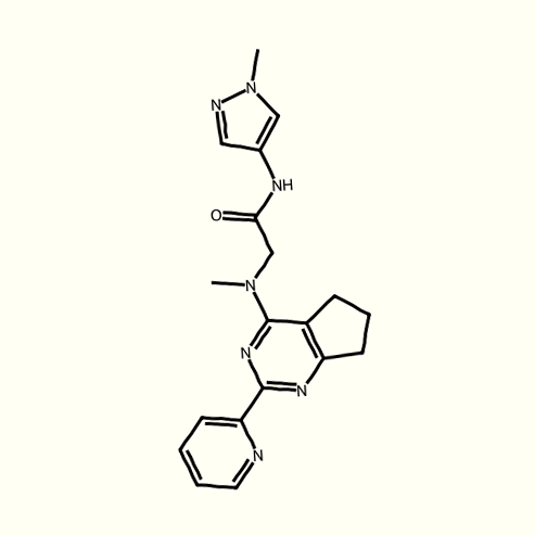 CN(CC(=O)Nc1cnn(C)c1)c1nc(-c2ccccn2)nc2c1CCC2